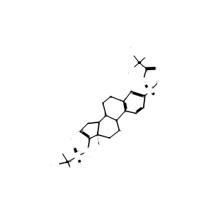 C[C@]12CCC3c4ccc(S(C)(=O)=NC(=O)C(F)(F)F)cc4CCC3C1CC=C2OS(=O)(=O)C(F)(F)F